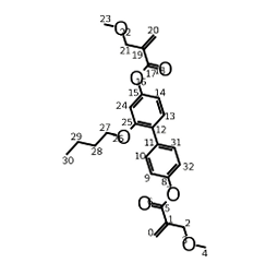 C=C(COC)C(=O)Oc1ccc(-c2ccc(OC(=O)C(=C)COC)cc2OCCCC)cc1